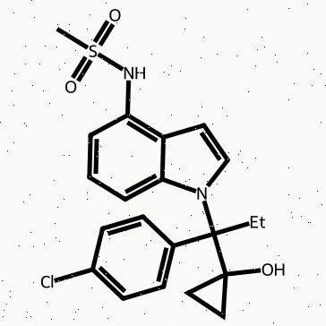 CCC(c1ccc(Cl)cc1)(n1ccc2c(NS(C)(=O)=O)cccc21)C1(O)CC1